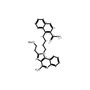 COCCc1nc2c(N)nc3ccccc3c2n1CCCCc1c(C(N)=O)ccc2ccccc12